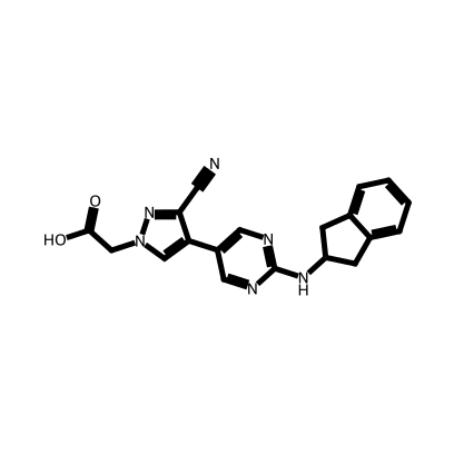 N#Cc1nn(CC(=O)O)cc1-c1cnc(NC2Cc3ccccc3C2)nc1